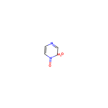 O.O=[N+]1C=CN=CC1